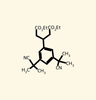 CCOC(=O)CC(CC(=O)OCC)c1cc(C(C)(C)C#N)cc(C(C)(C)C#N)c1